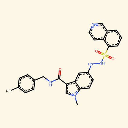 Cn1cc(C(=O)NCc2ccc(C#N)cc2)c2cc(NNS(=O)(=O)c3cccc4cnccc34)ccc21